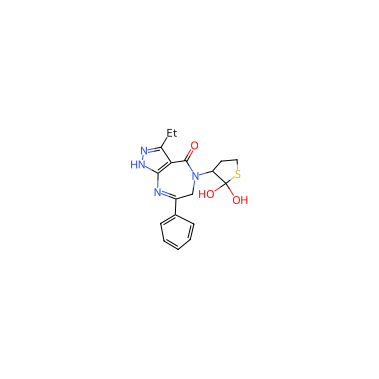 CCc1n[nH]c2c1C(=O)N(C1CCSC1(O)O)CC(c1ccccc1)=N2